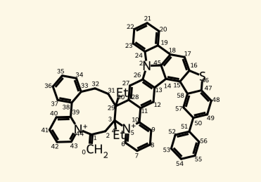 C=C1CC2(CC)[n+]3ccccc3-c3cc4c5c6c(cc7c8ccccc8n(c4cc3C2(CC)CCc2ccccc2-c2cccc[n+]21)c75)sc1ccc(-c2ccccc2)cc16